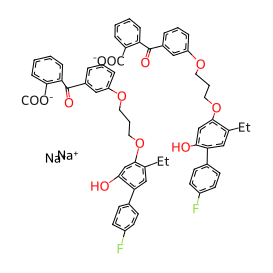 CCc1cc(-c2ccc(F)cc2)c(O)cc1OCCCOc1cccc(C(=O)c2ccccc2C(=O)[O-])c1.CCc1cc(-c2ccc(F)cc2)c(O)cc1OCCCOc1cccc(C(=O)c2ccccc2C(=O)[O-])c1.[Na+].[Na+]